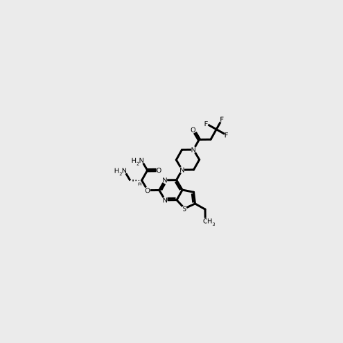 CCc1cc2c(N3CCN(C(=O)CC(F)(F)F)CC3)nc(O[C@H](CN)C(N)=O)nc2s1